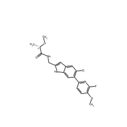 COc1ccc(-c2cc3[nH]c(CNC(=O)[C@H](C)OC)cc3cc2Cl)nc1F